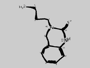 CCCCN1Cc2ccccc2NC1=S